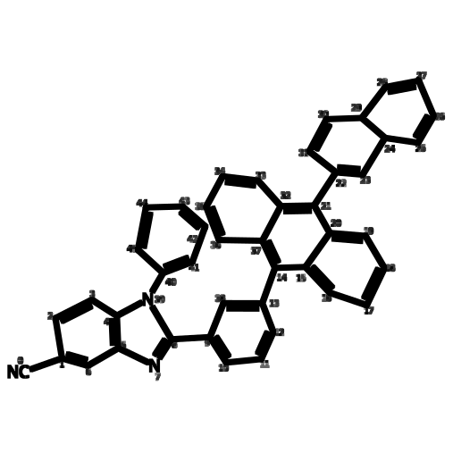 N#Cc1ccc2c(c1)nc(-c1cccc(-c3c4ccccc4c(C4=CC5C=CC=CC5C=C4)c4ccccc34)c1)n2-c1ccccc1